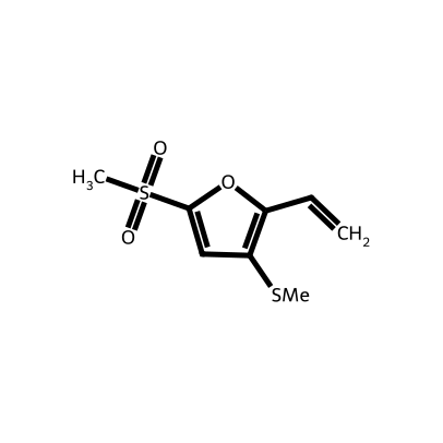 C=Cc1oc(S(C)(=O)=O)cc1SC